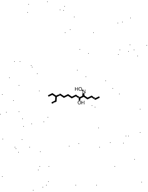 CCCCC(=NO)C(O)CCCCCC(CC)CC